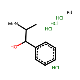 CNC(C)C(O)c1ccccc1.Cl.Cl.Cl.Cl.[Pd]